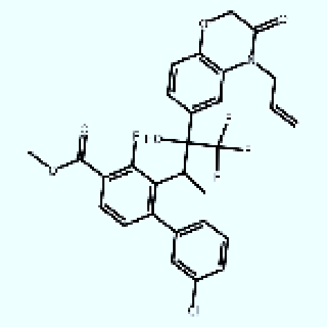 C=CCN1C(=O)COc2ccc(C(O)(C(C)c3c(-c4cccc(Cl)c4)ccc(C(=O)OC)c3F)C(F)(F)F)cc21